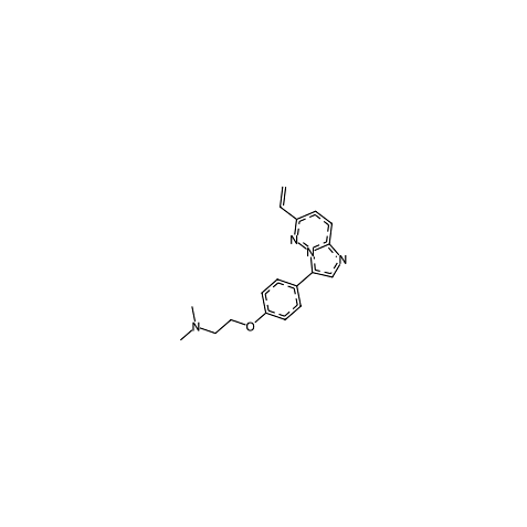 C=Cc1ccc2ncc(-c3ccc(OCCN(C)C)cc3)n2n1